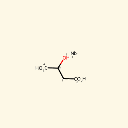 O=C(O)CC(O)C(=O)O.[Nb]